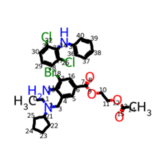 CCN(Cc1cc(C(=O)OCCOC(C)=O)cc(Br)c1N)C1CCCC1.Clc1cccc(Cl)c1Nc1ccccc1